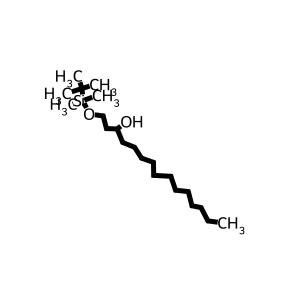 CCCCCCCCCCCCC(O)CCO[Si](C)(C)C(C)(C)C